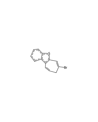 BrC1=Cc2sc3ccccc3c2C=CC1